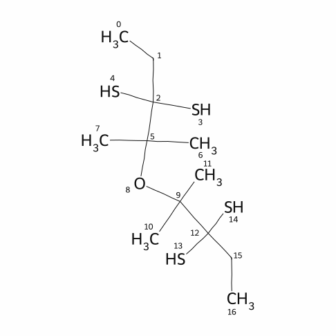 CCC(S)(S)C(C)(C)OC(C)(C)C(S)(S)CC